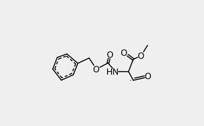 COC(=O)C([C]=O)NC(=O)OCc1ccccc1